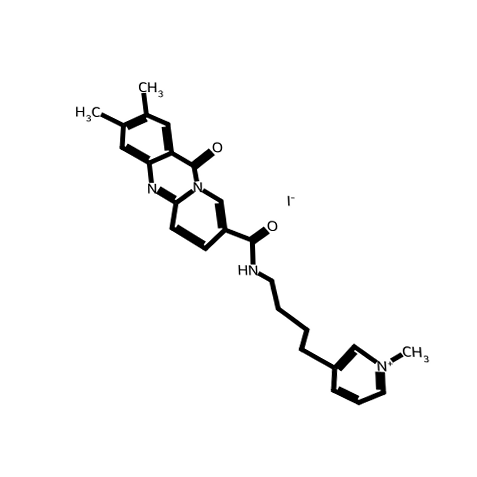 Cc1cc2nc3ccc(C(=O)NCCCCc4ccc[n+](C)c4)cn3c(=O)c2cc1C.[I-]